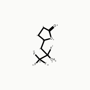 CC(F)(CC1CCC(=O)O1)C(F)(F)F